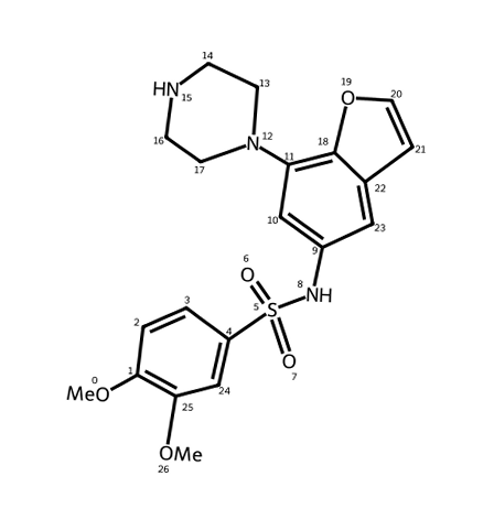 COc1ccc(S(=O)(=O)Nc2cc(N3CCNCC3)c3occc3c2)cc1OC